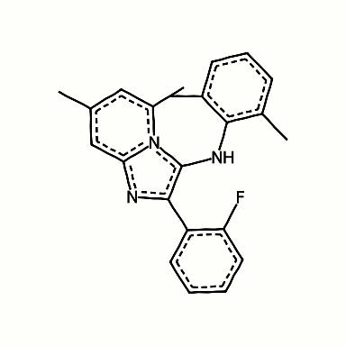 Cc1cc(C)n2c(Nc3c(C)cccc3C)c(-c3ccccc3F)nc2c1